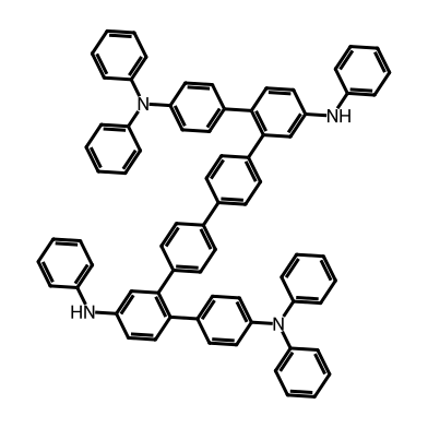 c1ccc(Nc2ccc(-c3ccc(N(c4ccccc4)c4ccccc4)cc3)c(-c3ccc(-c4ccc(-c5cc(Nc6ccccc6)ccc5-c5ccc(N(c6ccccc6)c6ccccc6)cc5)cc4)cc3)c2)cc1